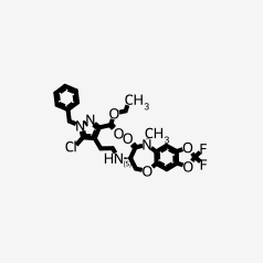 CCOC(=O)c1nn(Cc2ccccc2)c(Cl)c1CCN[C@H]1COc2cc3c(cc2N(C)C1=O)OC(F)(F)O3